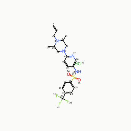 C=CCN1C(C)CN(c2ccc(NS(=O)(=O)c3ccc(C(F)(F)F)cc3)cn2)CC1C.Cl